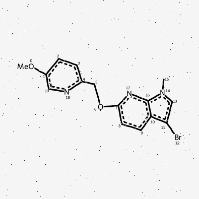 COc1ccc(COc2ccc3c(Br)cn(C)c3n2)nc1